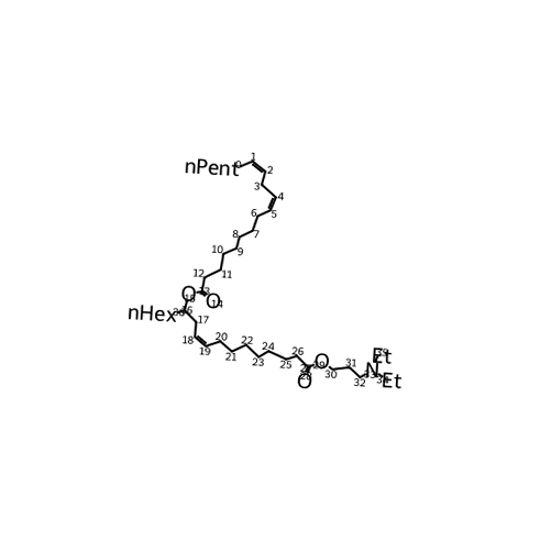 CCCCC/C=C\C/C=C\CCCCCCCC(=O)OC(C/C=C\CCCCCCCC(=O)OCCCN(CC)CC)CCCCCC